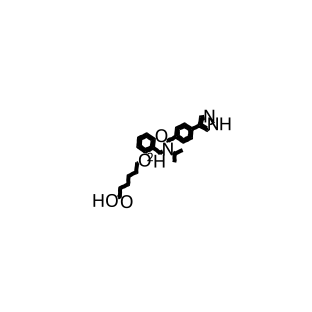 [2H]C(c1ccccc1OCCCCCC(=O)O)N(C(=O)c1ccc(-c2cn[nH]c2)cc1)C(C)C